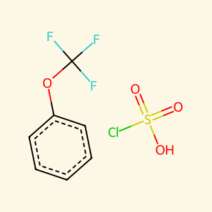 FC(F)(F)Oc1ccccc1.O=S(=O)(O)Cl